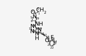 C=CC(=O)N1CCC(Nc2ncnc3[nH]c(C#CCOc4ccccc4F)nc23)C1